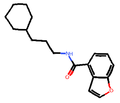 O=C(NCC[CH]C1CCCCC1)c1cccc2occc12